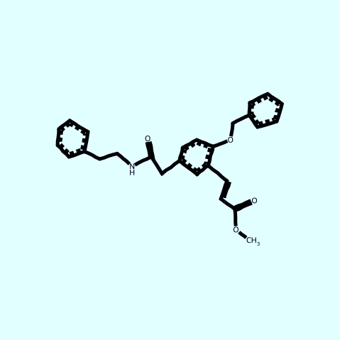 COC(=O)C=Cc1cc(CC(=O)NCCc2ccccc2)ccc1OCc1ccccc1